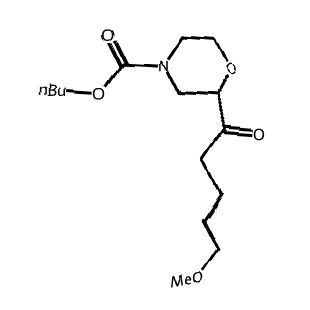 CCCCOC(=O)N1CCOC(C(=O)CCCCOC)C1